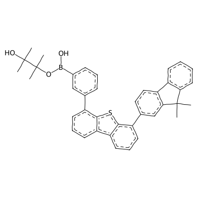 CC1(C)c2ccccc2-c2ccc(-c3cccc4c3sc3c(-c5cccc(B(O)OC(C)(C)C(C)(C)O)c5)cccc34)cc21